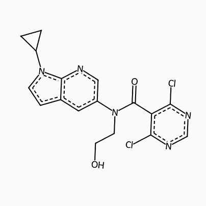 O=C(c1c(Cl)ncnc1Cl)N(CCO)c1cnc2c(ccn2C2CC2)c1